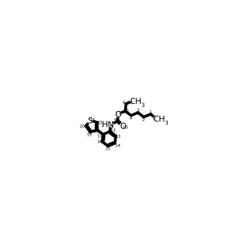 CCCCCC(CC)OC(=O)Nc1ccccc1-c1ccsc1